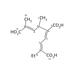 CCC(=CC=C(C(=O)O)C(C)C=C(C)C(=O)O)C(=O)O